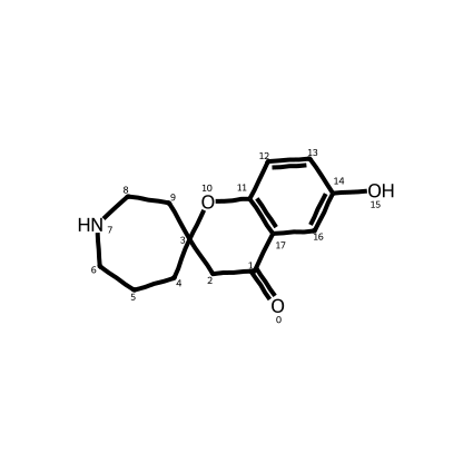 O=C1CC2(CCCNCC2)Oc2ccc(O)cc21